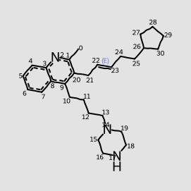 Cc1nc2ccccc2c(CCCCN2CCNCC2)c1C/C=C/CCC1CCCC1